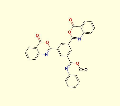 O=CO/C(=N\c1ccccc1)c1cc(-c2nc3ccccc3c(=O)o2)cc(-c2nc3ccccc3c(=O)o2)c1